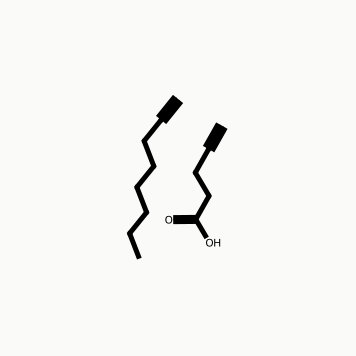 C#CCCC(=O)O.C#CCCCCCC